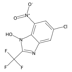 O=[N+]([O-])c1cc(Cl)cc2nc(C(F)(F)F)n(O)c12